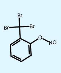 O=NOc1ccccc1C(Br)(Br)Br